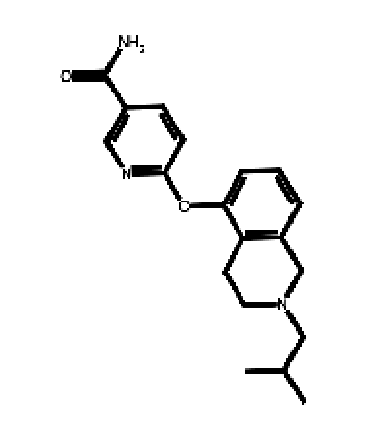 CC(C)CN1CCc2c(cccc2Oc2ccc(C(N)=O)cn2)C1